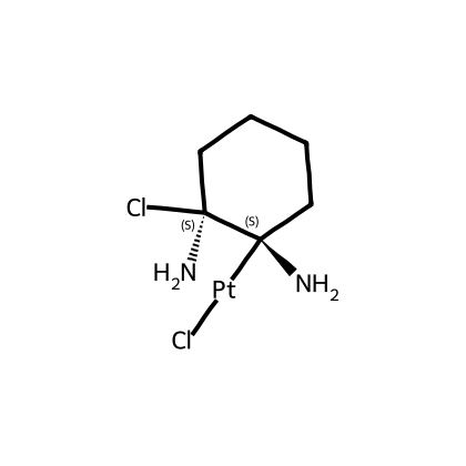 N[C@]1(Cl)CCCC[C@]1(N)[Pt][Cl]